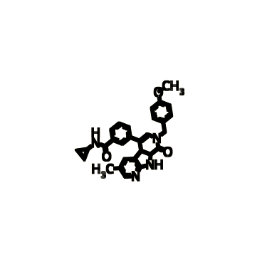 COc1ccc(CN2C=C(c3cccc(C(=O)NC4CC4)c3)C3c4cc(C)cnc4NC3C2=O)cc1